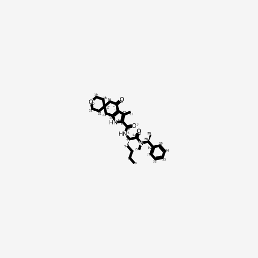 CCCC[C@H](NC(=O)c1[nH]c2c(c1C)C(=O)CC1(CCOCC1)C2)C(=O)N(C)[C@@H](C)c1ccccc1